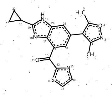 Cc1noc(C)c1-c1cc(C(=O)c2nccs2)c2nc(C3CC3)[nH]c2c1